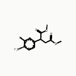 COC(=O)CC(C(=O)OC)c1ccc(N)c(I)c1